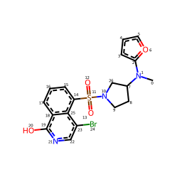 CN(c1ccco1)C1CCN(S(=O)(=O)c2cccc3c(O)ncc(Br)c23)C1